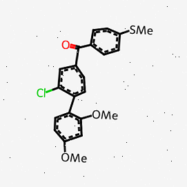 COc1ccc(-c2ccc(C(=O)c3ccc(SC)cc3)cc2Cl)c(OC)c1